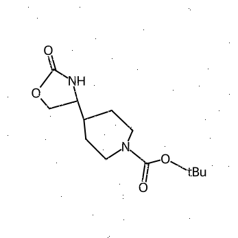 CC(C)(C)OC(=O)N1CCC(C2COC(=O)N2)CC1